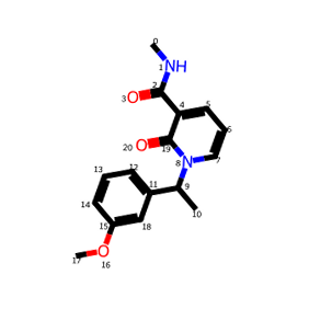 CNC(=O)c1cccn(C(C)c2cccc(OC)c2)c1=O